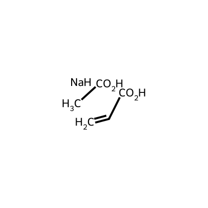 C=CC(=O)O.CC(=O)O.[NaH]